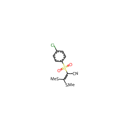 CSC(SC)=C(C#N)S(=O)(=O)c1ccc(Cl)cc1